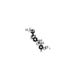 Cn1cc(-c2cnc3ccc(NC(=O)Nc4ccc(F)c(OC(F)(F)F)c4)cc3n2)cn1